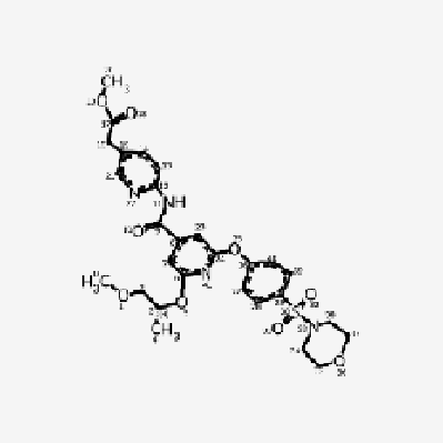 COC[C@@H](C)Oc1cc(C(=O)Nc2ccc(CC(=O)OC)cn2)cc(Oc2ccc(S(=O)(=O)N3CCOCC3)cc2)n1